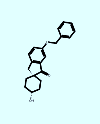 O=C1c2cc(OCc3ccccc3)ccc2C[C@]12CC[C@@H](O)CC2